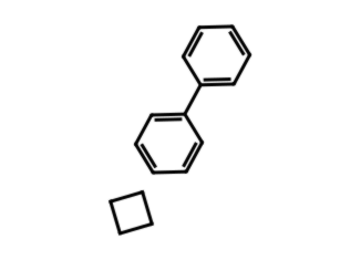 C1CCC1.c1ccc(-c2ccccc2)cc1